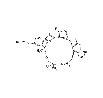 CC1(C)CNC(=O)CCc2c(c(F)cc3[nH]ccc23)Oc2ccc(F)c(c2)-c2ncc([nH]2)C(C)(c2cccc(CCC(=O)O)c2)COC1